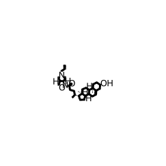 C=CCN1C[C@H]2CON(C(=O)CCC(C)[C@H]3CC[C@H]4[C@@H]5CC=C6C[C@@H](O)CC[C@]6(C)[C@H]5CC[C@]34C)[C@H]2C1